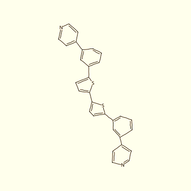 c1cc(-c2ccncc2)cc(-c2ccc(-c3ccc(-c4cccc(-c5ccncc5)c4)s3)s2)c1